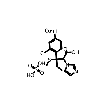 CCC(SC)(c1ccc(Cl)cc1Cl)C(C(=O)O)n1ccnc1.O=S(=O)(O)O.[Cu]